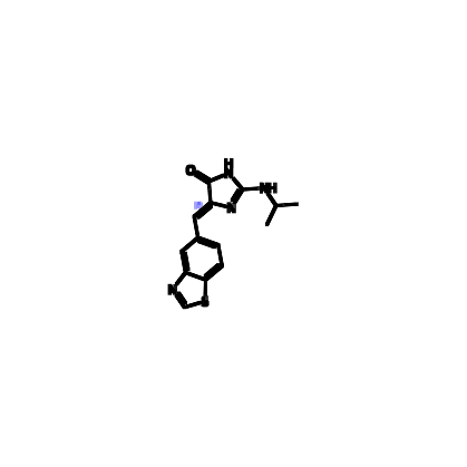 CC(C)NC1=N/C(=C\c2ccc3scnc3c2)C(=O)N1